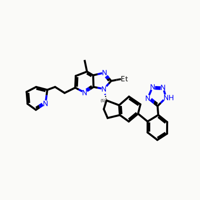 CCc1nc2c(C)cc(CCc3ccccn3)nc2n1[C@H]1CCc2cc(-c3ccccc3-c3nnn[nH]3)ccc21